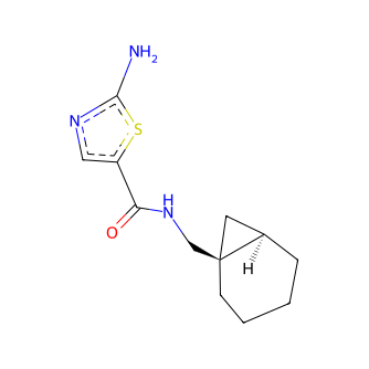 Nc1ncc(C(=O)NC[C@]23CCCC[C@@H]2C3)s1